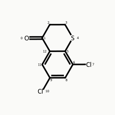 O=C1CCSc2c(Cl)cc(Cl)cc21